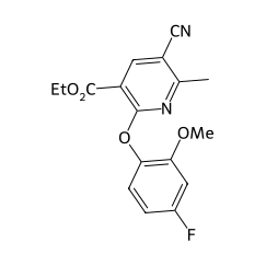 CCOC(=O)c1cc(C#N)c(C)nc1Oc1ccc(F)cc1OC